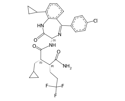 NC(=O)[C@H](CCC(F)(F)F)[C@H](CC1CC1)C(=O)N[C@H]1N=C(c2ccc(Cl)cc2)c2cccc(C3CC3)c2NC1=O